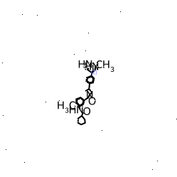 CN/C=C(\C=N)c1ccc(C2CN(C(=O)c3ccc(C)c(NC(=O)C4CCCCC4)c3)C2)cc1